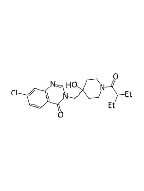 CCC(CC)C(=O)N1CCC(O)(Cn2cnc3cc(Cl)ccc3c2=O)CC1